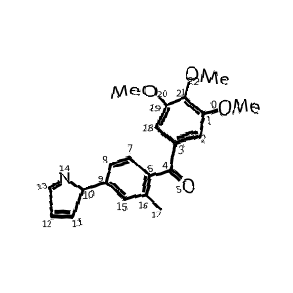 COc1cc(C(=O)c2ccc(C3C=CC=N3)cc2C)cc(OC)c1OC